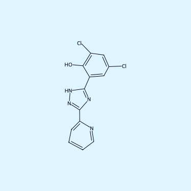 Oc1c(Cl)cc(Cl)cc1-c1nc(-c2ccccn2)n[nH]1